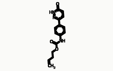 C=CCCOC(=O)Nc1ccc(-c2ccc(=O)[nH]n2)cc1